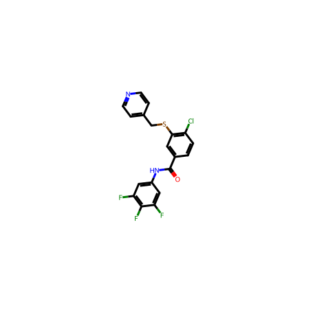 O=C(Nc1cc(F)c(F)c(F)c1)c1ccc(Cl)c(SCc2ccncc2)c1